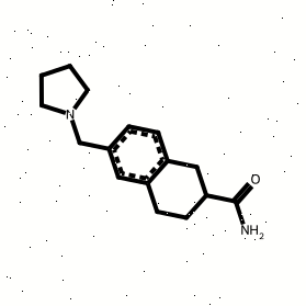 NC(=O)C1CCc2cc(CN3CCCC3)ccc2C1